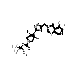 Cc1cncc2ncn(Cc3nc([C@H]4[C@@H]5CN(C(=O)OC(C)(C)C)C[C@@H]54)no3)c(=O)c12